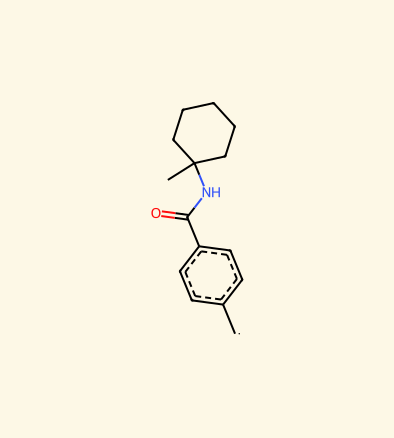 [CH2]c1ccc(C(=O)NC2(C)CCCCC2)cc1